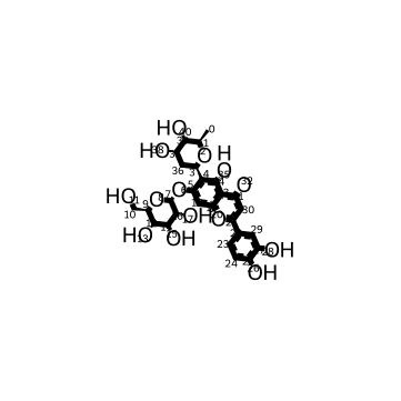 C[C@H]1O[C@@H](c2c(O[C@@H]3O[C@H](CO)[C@@H](O)[C@H](O)[C@H]3O)cc3oc(-c4ccc(O)c(O)c4)cc(=O)c3c2O)C[C@H](O)[C@H]1O